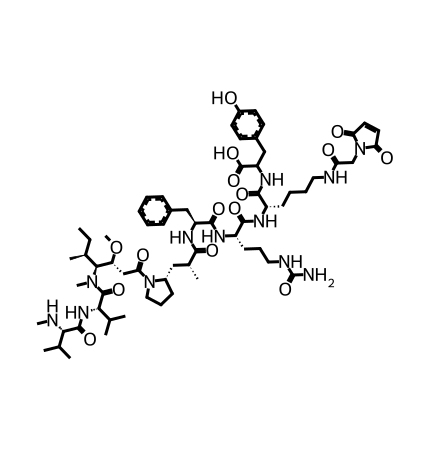 CC[C@H](C)[C@@H]([C@@H](CC(=O)N1CCC[C@H]1C[C@@H](C)C(=O)N[C@@H](Cc1ccccc1)C(=O)N[C@@H](CCCNC(N)=O)C(=O)N[C@@H](CCCCNC(=O)CN1C(=O)C=CC1=O)C(=O)NC(Cc1ccc(O)cc1)C(=O)O)OC)N(C)C(=O)[C@@H](NC(=O)[C@@H](NC)C(C)C)C(C)C